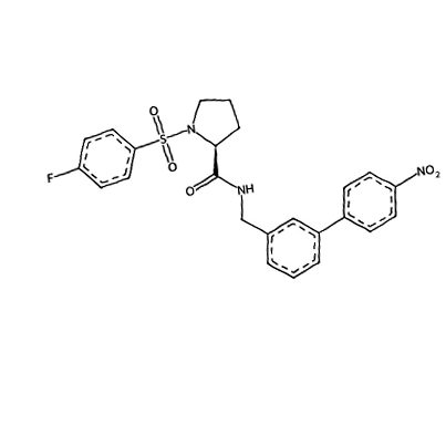 O=C(NCc1cccc(-c2ccc([N+](=O)[O-])cc2)c1)[C@@H]1CCCN1S(=O)(=O)c1ccc(F)cc1